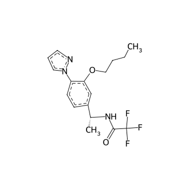 CCCCOc1cc([C@@H](C)NC(=O)C(F)(F)F)ccc1-n1cccn1